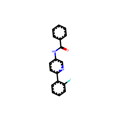 O=C(Nc1ccc(-c2ccccc2F)nc1)c1ccccc1